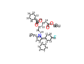 CC(C)c1cc(-c2ccccc2)c(-c2ccc(F)cc2)n1CC[C@@H]1C[C@H](CC(=O)OC(C)(C)C)OB(c2ccccc2)O1